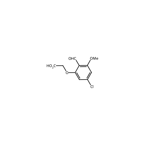 COc1cc(Cl)cc(OCC(=O)O)c1C=O